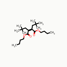 CCCCOC(=O)/C(CC(C)(C)C)=C(/CC(C)(C)C)C(=O)OCCCC